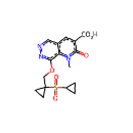 Cn1c(=O)c(C(=O)O)cc2cnnc(OCC3(S(=O)(=O)C4CC4)CC3)c21